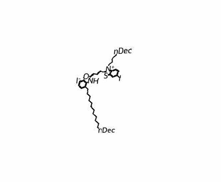 CCCCCCCCCCCCCCCCCCCCCCc1cccc2c1NC(=CC=Cc1sc3cc(I)ccc3[n+]1CCCCCCCCCCCCCC)O2.[I-]